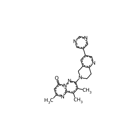 Cc1cc(=O)n2nc(N3CCc4ncc(-c5cncnc5)cc4C3)c(C)c(C)c2n1